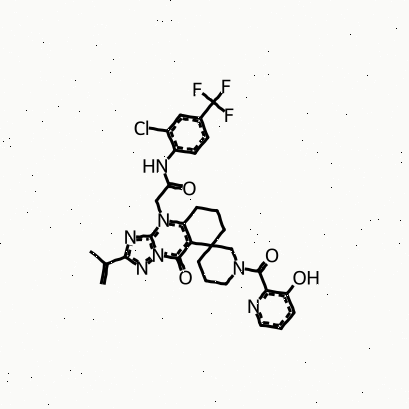 C=C(C)c1nc2n(CC(=O)Nc3ccc(C(F)(F)F)cc3Cl)c3c(c(=O)n2n1)C1(CCC3)CCCN(C(=O)c2ncccc2O)C1